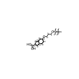 CC(C)(C)[Si](C)(C)OCCCOc1ccc2cc(B(O)O)sc2c1